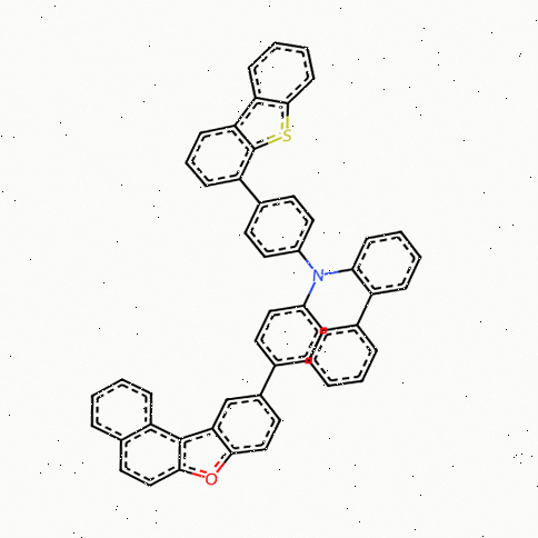 c1ccc(-c2ccccc2N(c2ccc(-c3ccc4oc5ccc6ccccc6c5c4c3)cc2)c2ccc(-c3cccc4c3sc3ccccc34)cc2)cc1